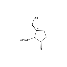 CCCCCN1C(=O)CC[C@@H]1CO